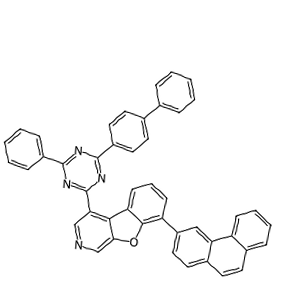 c1ccc(-c2ccc(-c3nc(-c4ccccc4)nc(-c4cncc5oc6c(-c7ccc8ccc9ccccc9c8c7)cccc6c45)n3)cc2)cc1